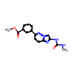 CNC(=O)Nc1cn2nc(-c3cccc(C(=O)OC)c3)ccc2n1